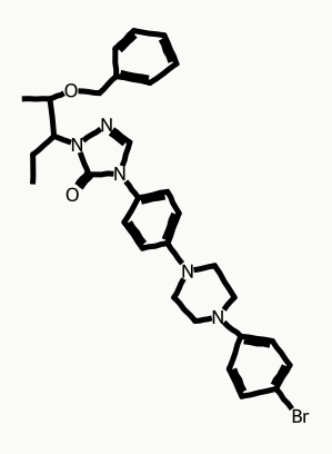 CCC(C(C)OCc1ccccc1)n1ncn(-c2ccc(N3CCN(c4ccc(Br)cc4)CC3)cc2)c1=O